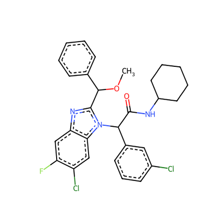 COC(c1ccccc1)c1nc2cc(F)c(Cl)cc2n1C(C(=O)NC1CCCCC1)c1cccc(Cl)c1